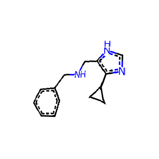 c1ccc(CNCc2[nH]cnc2C2CC2)cc1